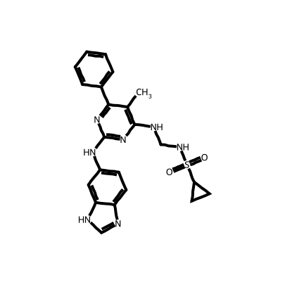 Cc1c(NCNS(=O)(=O)C2CC2)nc(Nc2ccc3nc[nH]c3c2)nc1-c1ccccc1